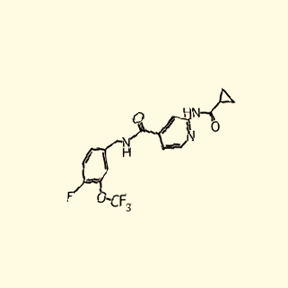 O=C(NCc1ccc(F)c(OC(F)(F)F)c1)c1ccnc(NC(=O)C2CC2)c1